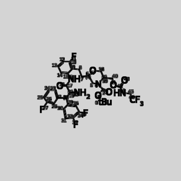 CC(C)(C)OC(=O)N1C[C@@H](CCc2c(F)cccc2NC(=O)[C@@H](N)[C@H](c2cccc(F)c2)c2ccc(F)c(F)c2)OC[C@H]1COC(=O)NCC(F)(F)F